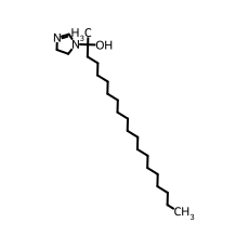 CCCCCCCCCCCCCCCCCCC(C)(O)N1C=NCC1